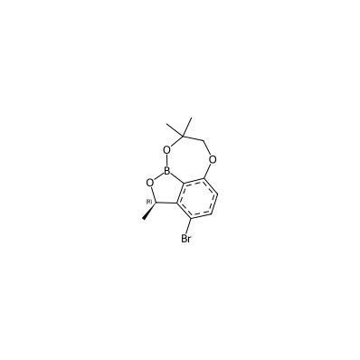 C[C@H]1OB2OC(C)(C)COc3ccc(Br)c1c32